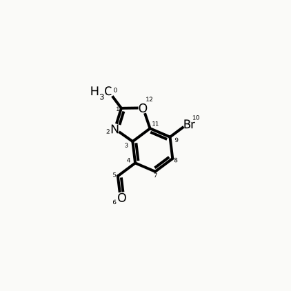 Cc1nc2c(C=O)ccc(Br)c2o1